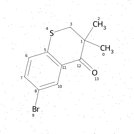 CC1(C)CSc2ccc(Br)cc2C1=O